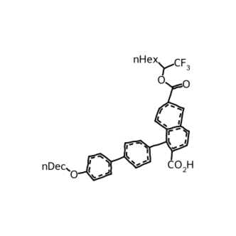 CCCCCCCCCCOc1ccc(-c2ccc(-c3c(C(=O)O)ccc4cc(C(=O)OC(CCCCCC)C(F)(F)F)ccc34)cc2)cc1